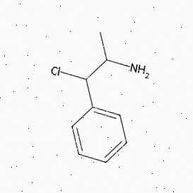 CC(N)C(Cl)c1ccccc1